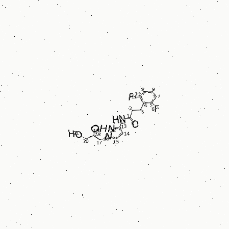 O=C(CCc1c(F)cccc1F)Nc1ccn(CC(O)CO)n1